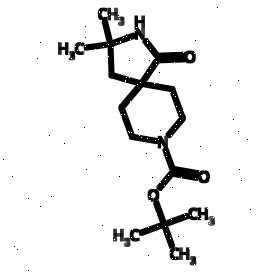 CC1(C)CC2(CCN(C(=O)OC(C)(C)C)CC2)C(=O)N1